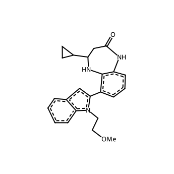 COCCn1c(-c2cccc3c2NC(C2CC2)CC(=O)N3)cc2ccccc21